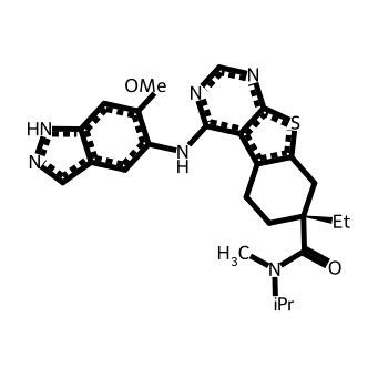 CC[C@@]1(C(=O)N(C)C(C)C)CCc2c(sc3ncnc(Nc4cc5cn[nH]c5cc4OC)c23)C1